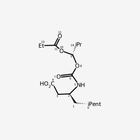 CCC[C@@H](C)C[C@@H](CC(=O)O)NC(=O)O[C@H](OC(=O)CC)C(C)C